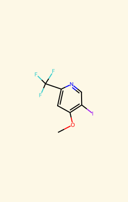 COc1cc(C(F)(F)F)ncc1I